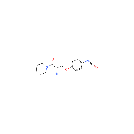 N[C@@H](COc1ccc(N=C=O)cc1)C(=O)N1CCCCC1